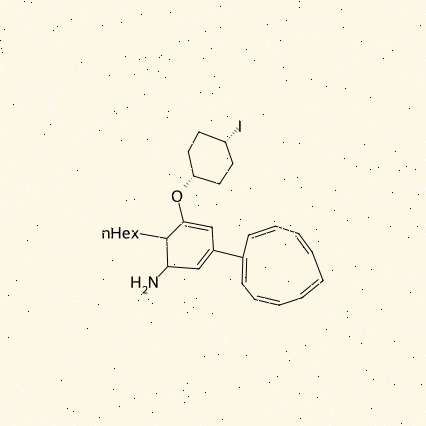 CCCCCCC1C(O[C@H]2CC[C@@H](I)CC2)=CC(c2ccccccccc2)=CC1N